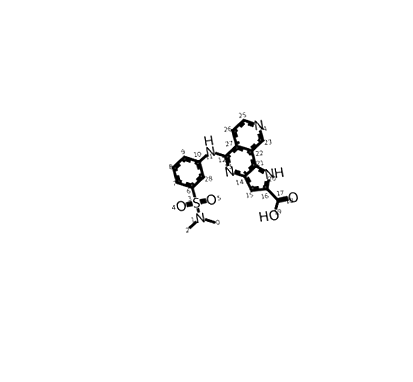 CN(C)S(=O)(=O)c1cccc(Nc2nc3cc(C(=O)O)[nH]c3c3cnccc23)c1